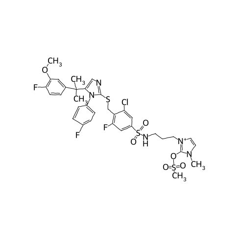 COc1cc(C(C)(C)c2cnc(SCc3c(F)cc(S(=O)(=O)NCCC[n+]4ccn(C)c4OS(C)(=O)=O)cc3Cl)n2-c2ccc(F)cc2)ccc1F